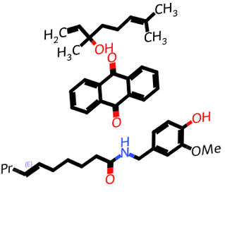 C=CC(C)(O)CCC=C(C)C.COc1cc(CNC(=O)CCCC/C=C/C(C)C)ccc1O.O=C1c2ccccc2C(=O)c2ccccc21